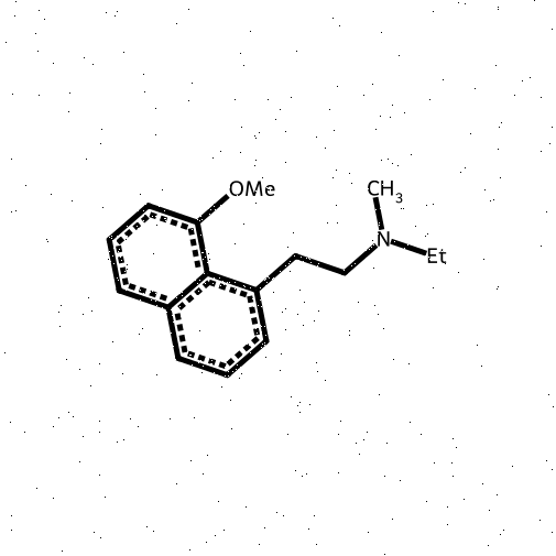 CCN(C)CCc1cccc2cccc(OC)c12